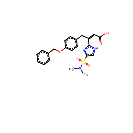 CN(C)S(=O)(=O)c1c[nH]c(/C(=C\C(=O)O)Cc2ccc(OCc3ccccc3)cc2)n1